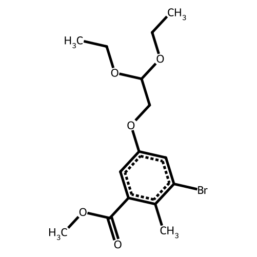 CCOC(COc1cc(Br)c(C)c(C(=O)OC)c1)OCC